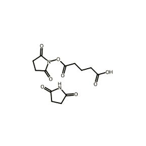 O=C(O)CCCC(=O)ON1C(=O)CCC1=O.O=C1CCC(=O)N1